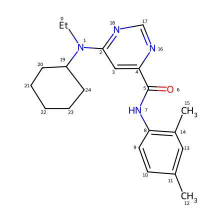 CCN(c1cc(C(=O)Nc2ccc(C)cc2C)ncn1)C1CCCCC1